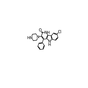 O=c1[nH]c2c([nH]c3ccc(Cl)cc32)c(-c2ccccc2)c1N1CCNCC1